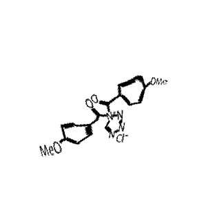 COc1ccc(C(=O)[N+]2(C(=O)c3ccc(OC)cc3)C=NN=N2)cc1.[Cl-]